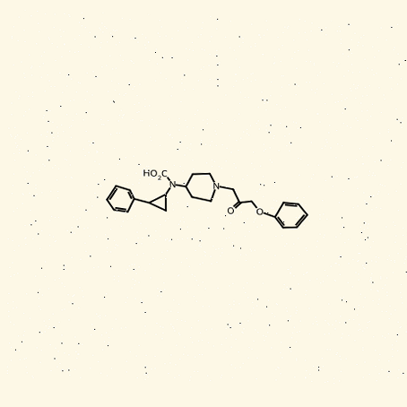 O=C(COc1ccccc1)CN1CCC(N(C(=O)O)C2CC2c2ccccc2)CC1